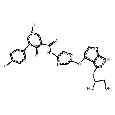 C[C@H](CO)Nc1n[nH]c2nccc(Oc3ccc(NC(=O)c4cn(C)cc(-c5ccc(F)cc5)c4=O)nc3)c12